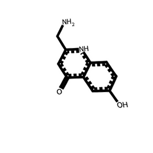 NCc1cc(=O)c2cc(O)ccc2[nH]1